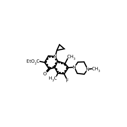 CCOC(=O)c1cn(C2CC2)c2c(C)c(N3CCN(C)CC3)c(F)c(C)c2c1=O